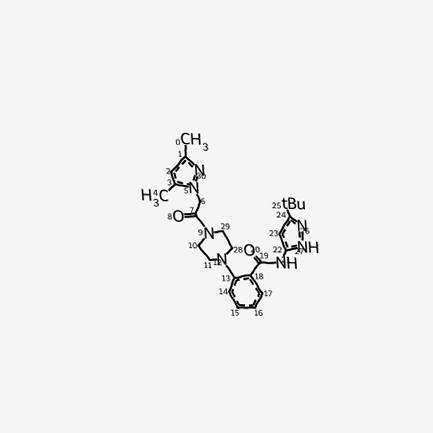 Cc1cc(C)n(CC(=O)N2CCN(c3ccccc3C(=O)Nc3cc(C(C)(C)C)n[nH]3)CC2)n1